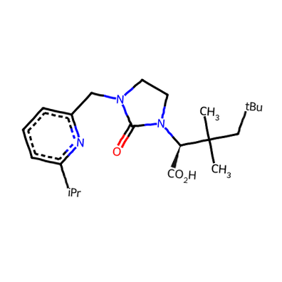 CC(C)c1cccc(CN2CCN([C@H](C(=O)O)C(C)(C)CC(C)(C)C)C2=O)n1